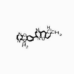 C=C/C=C\C1=C(C)Cc2ncc(-c3ccc4c(c3)Oc3nccnc3[SiH2]4)nc2O1